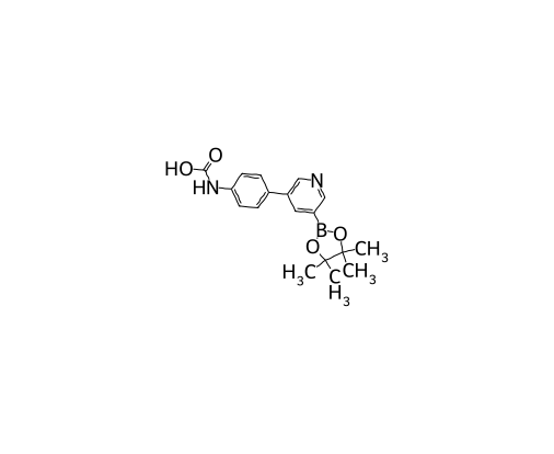 CC1(C)OB(c2cncc(-c3ccc(NC(=O)O)cc3)c2)OC1(C)C